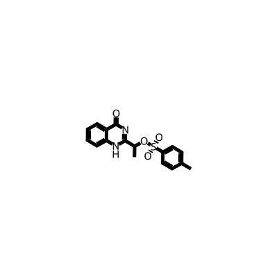 Cc1ccc(S(=O)(=O)OC(C)c2nc(=O)c3ccccc3[nH]2)cc1